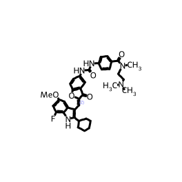 COc1cc(F)c2[nH]c(C3CCCCC3)c(/C=C3\Oc4ccc(NC(=O)Nc5ccc(C(=O)N(C)CCN(C)C)cc5)cc4C3=O)c2c1